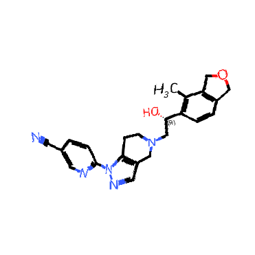 Cc1c([C@@H](O)CN2CCc3c(cnn3-c3ccc(C#N)cn3)C2)ccc2c1COC2